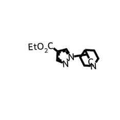 CCOC(=O)c1cnn(C2CN3CCC2CC3)c1